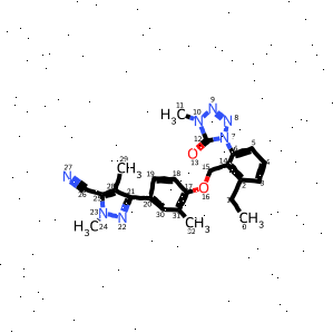 CCc1cccc(-n2nnn(C)c2=O)c1COc1ccc(-c2nn(C)c(C#N)c2C)cc1C